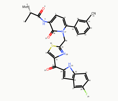 CN[C@@H](C)C(=O)Nc1ccc(-c2cccc(C#N)c2)n(Cc2nc(C(=O)c3cc4cc(F)ccc4[nH]3)cs2)c1=O